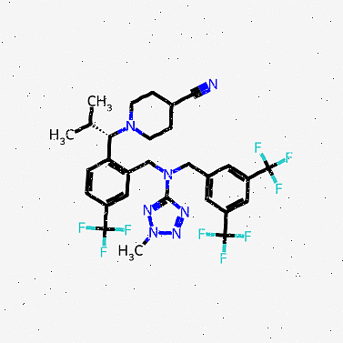 CC(C)[C@@H](c1ccc(C(F)(F)F)cc1CN(Cc1cc(C(F)(F)F)cc(C(F)(F)F)c1)c1nnn(C)n1)N1CCC(C#N)CC1